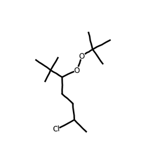 CC(Cl)CCC(OOC(C)(C)C)C(C)(C)C